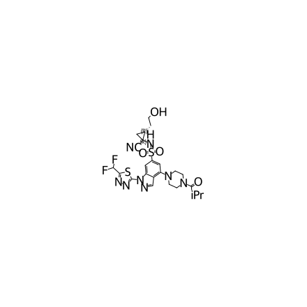 CC(C)C(=O)N1CCN(c2cc(S(=O)(=O)N[C@]3(C#N)C[C@@H]3CCO)cc3c2cnn3-c2nnc(C(F)F)s2)CC1